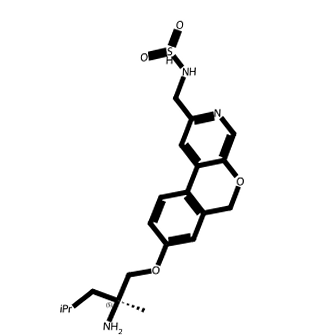 CC(C)C[C@](C)(N)COc1ccc2c(c1)COc1cnc(CN[SH](=O)=O)cc1-2